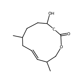 CC1/C=C/CC(C)CCC(O)CC(=O)OC1